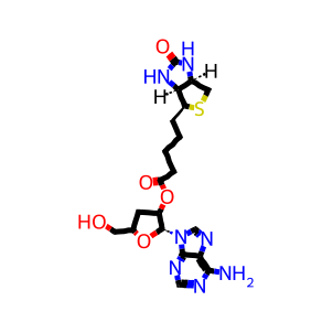 Nc1ncnc2c1ncn2[C@@H]1OC(CO)CC1OC(=O)CCCC[C@@H]1SC[C@@H]2NC(=O)N[C@@H]21